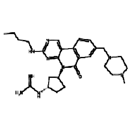 CCCCNc1ncc2c3ccc(CN4CCN(C)CC4)cc3c(=O)n([C@H]3CC[C@H](NC(=N)N)C3)c2n1